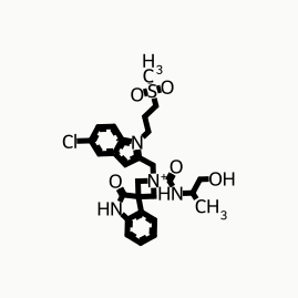 CC(CO)NC(=O)[N+]1(Cc2cc3cc(Cl)ccc3n2CCCS(C)(=O)=O)CC2(C1)C(=O)Nc1ccccc12